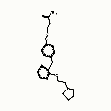 NC(=O)CCCOc1ccc(Cc2[c]cccc2OCCN2CCCC2)cc1